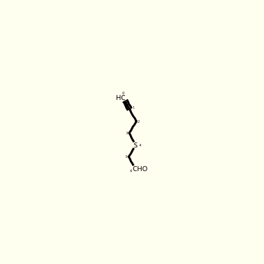 C#CCCSCC=O